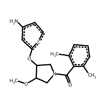 COC1CN(C(=O)c2c(C)cccc2C)CC1Oc1cccc(N)c1